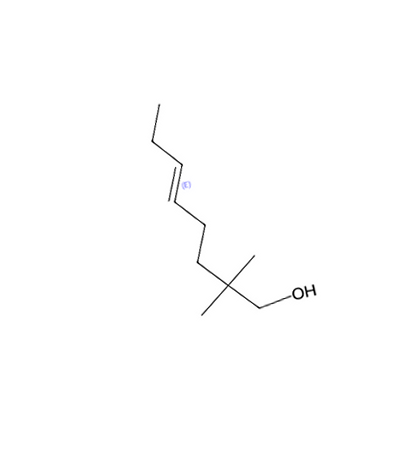 CC/C=C/CCC(C)(C)CO